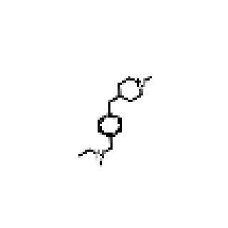 CCN(C)Cc1ccc(CC2CCN(C)CC2)cc1